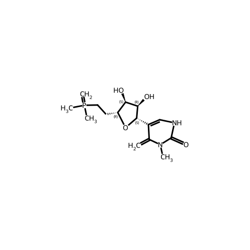 C=C1C([C@@H]2O[C@H](CCP(=C)(C)C)[C@@H](O)[C@H]2O)=CNC(=O)N1C